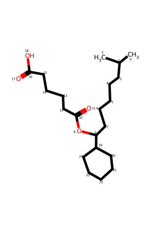 CC(C)CCCCCC(OC(=O)CCCCC(=O)O)C1CCCCC1